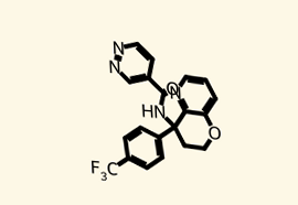 O=C(NC1(c2ccc(C(F)(F)F)cc2)CCOc2cccnc21)c1ccnnc1